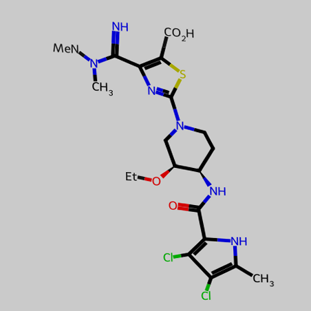 CCO[C@H]1CN(c2nc(C(=N)N(C)NC)c(C(=O)O)s2)CC[C@H]1NC(=O)c1[nH]c(C)c(Cl)c1Cl